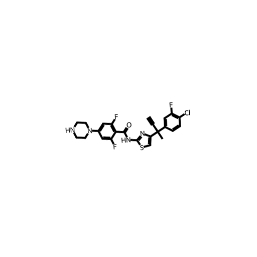 C#CC(C)(c1ccc(Cl)c(F)c1)c1csc(NC(=O)c2c(F)cc(N3CCNCC3)cc2F)n1